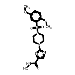 COc1ccc(OC)c(S(=O)(=O)N2CCN(c3ncc(C(=O)NO)s3)CC2)c1